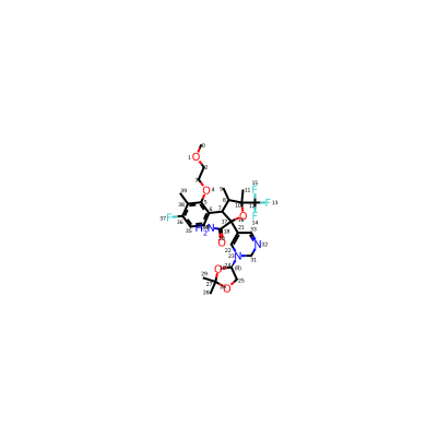 COCCOc1c(C2C(C)C(C)(C(F)(F)F)OC2(C(N)=O)C2=CN([C@H]3COC(C)(C)O3)CN=C2)ccc(F)c1C